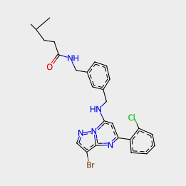 CC(C)CCC(=O)NCc1cccc(CNc2cc(-c3ccccc3Cl)nc3c(Br)cnn23)c1